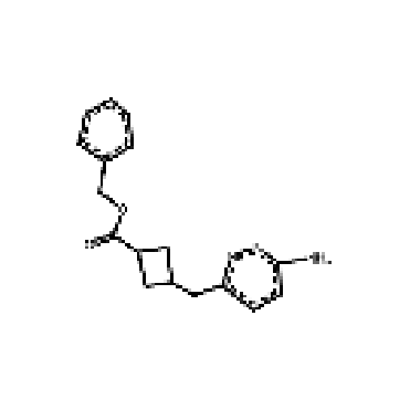 Nc1ccc(CC2CC(C(=O)OCc3ccccc3)C2)nn1